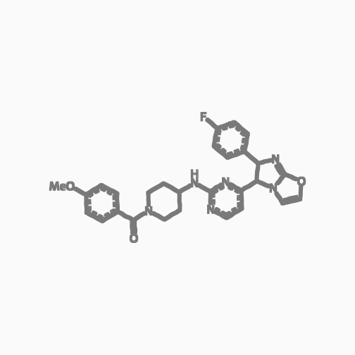 COc1ccc(C(=O)N2CCC(Nc3nccc(C4C(c5ccc(F)cc5)N=C5OC=CN54)n3)CC2)cc1